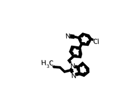 CCCCc1nc2ccccc2n1Cc1ccc(-c2cc(Cl)ccc2C#N)cc1